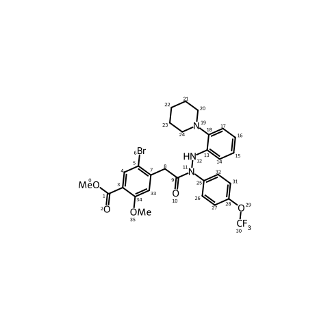 COC(=O)c1cc(Br)c(CC(=O)N(Nc2ccccc2N2CCCCC2)c2ccc(OC(F)(F)F)cc2)cc1OC